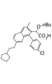 CCCCOC(C(=O)O)c1c(C)cc2ccc(CCC3CCCC3)cc2c1-c1ccc(Cl)cc1